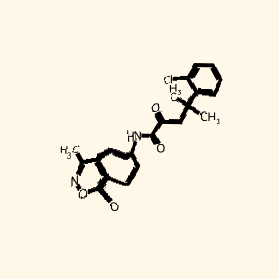 Cc1noc(=O)c2ccc(NC(=O)C(=O)CC(C)(C)c3ccccc3Cl)cc12